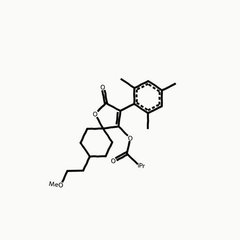 COCCC1CCC2(CC1)OC(=O)C(c1c(C)cc(C)cc1C)=C2OC(=O)C(C)C